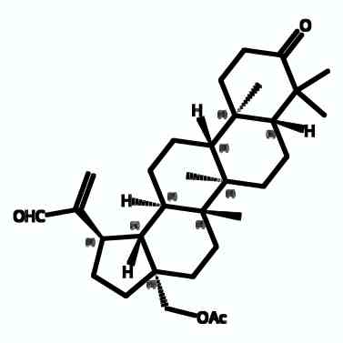 C=C(C=O)[C@@H]1CC[C@]2(COC(C)=O)CC[C@]3(C)[C@H](CC[C@@H]4[C@@]5(C)CCC(=O)C(C)(C)[C@@H]5CC[C@]43C)[C@@H]12